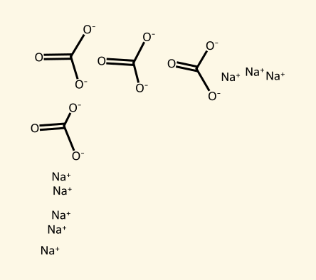 O=C([O-])[O-].O=C([O-])[O-].O=C([O-])[O-].O=C([O-])[O-].[Na+].[Na+].[Na+].[Na+].[Na+].[Na+].[Na+].[Na+]